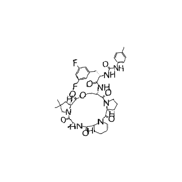 Cc1ccc(NC(=O)N[C@@H](Cc2cc(F)cc(F)c2)C(=O)N[C@H]2COC(=O)[C@@H]3CC(C)(C)CN3C(=O)[C@H](C)NC(=O)[C@@H]3CCCCN3C(=O)[C@@H]3CCCN3C2=O)cc1